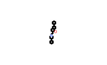 O=C1c2ccc(C3=CCCC=C3)cc2C=CC1CCN1CCC(c2ccccc2)CC1